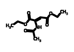 CCOC(=O)C=C(NC(C)=O)C(=O)OCC